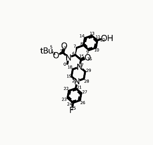 CN(C(=O)OC(C)(C)C)[C@@H](Cc1ccc(O)cc1)C(=O)N1CCN(c2ccc(F)cc2)CC1